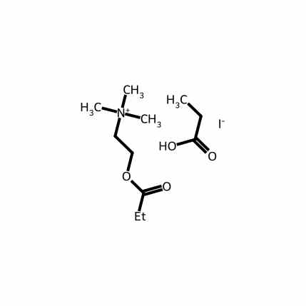 CCC(=O)O.CCC(=O)OCC[N+](C)(C)C.[I-]